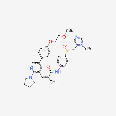 CCCCOCCOc1ccc(-c2cnc(N3CCCC3)c(C=C(C)C(=O)Nc3ccc([S+]([O-])Cc4cncn4CCC)cc3)c2)cc1